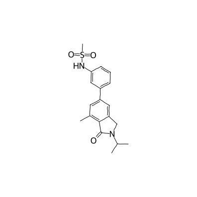 Cc1cc(-c2cccc(NS(C)(=O)=O)c2)cc2c1C(=O)N(C(C)C)C2